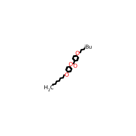 C=CCCCCCCOc1ccc(OC(=O)c2ccc(OCCCC(C)CC)cc2)cc1